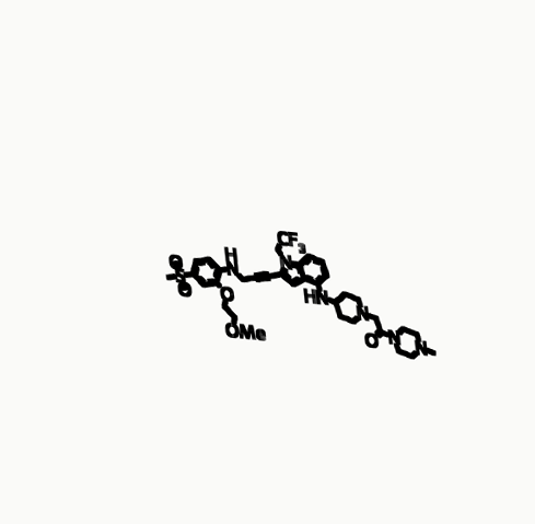 COCCOc1cc(S(C)(=O)=O)ccc1NCC#Cc1cc2c(NC3CCN(CC(=O)N4CCN(C)CC4)CC3)cccc2n1CC(F)(F)F